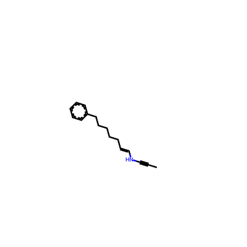 CC#CNC=CCCCCCc1ccccc1